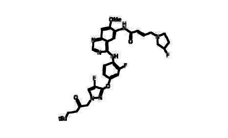 COc1cc2ncnc(Nc3ccc(Oc4nn(CC(=O)CCC(C)(C)C)cc4F)cc3F)c2cc1NC(=O)/C=C/CN1CCC(F)C1